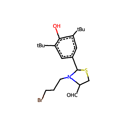 CC(C)(C)c1cc(C2SCC(C=O)N2CCCBr)cc(C(C)(C)C)c1O